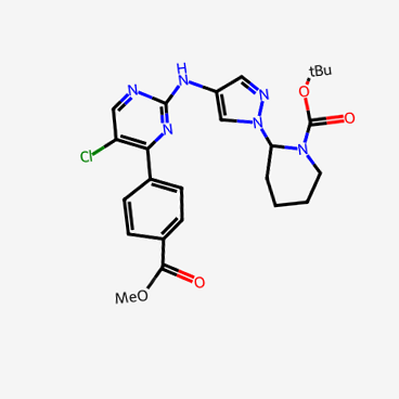 COC(=O)c1ccc(-c2nc(Nc3cnn(C4CCCCN4C(=O)OC(C)(C)C)c3)ncc2Cl)cc1